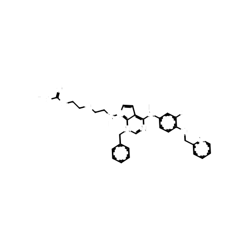 O=C(OCCOCCNS1=C2C(=C(Nc3ccc(OCc4ccccn4)c(Cl)c3)N=CN2Cc2ccccc2)C=C1)C(F)(F)F